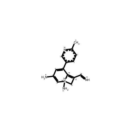 Cc1ccc(C2=CC(N)=C[PH]3(N)CC(C=N)=C23)cn1